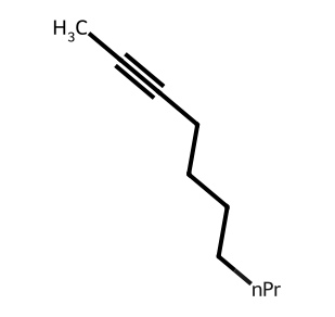 CC#CCCCCCCC